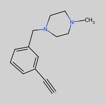 [C]#Cc1cccc(CN2CCN(C)CC2)c1